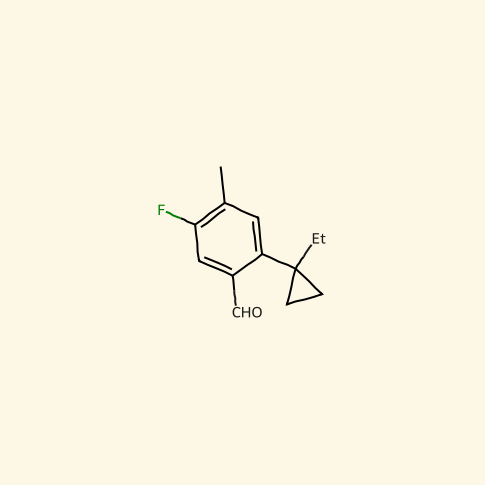 CCC1(c2cc(C)c(F)cc2C=O)CC1